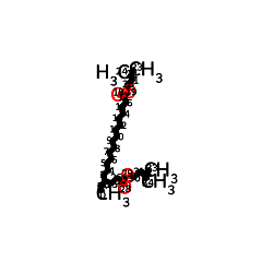 CCC(CCCCCCCCCCCCCCC(=O)OCCC(C)C)CCC(=O)OCCC(C)C